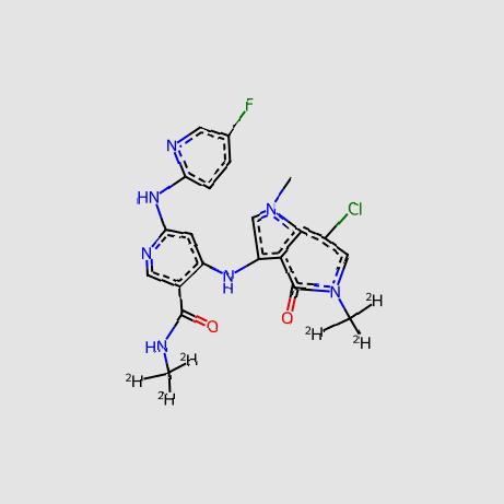 [2H]C([2H])([2H])NC(=O)c1cnc(Nc2ccc(F)cn2)cc1Nc1cn(C)c2c(Cl)cn(C([2H])([2H])[2H])c(=O)c12